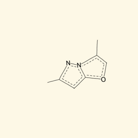 Cc1cc2occ(C)n2n1